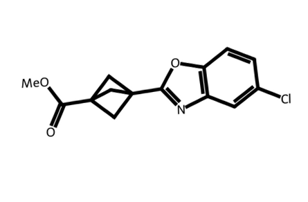 COC(=O)C12CC(c3nc4cc(Cl)ccc4o3)(C1)C2